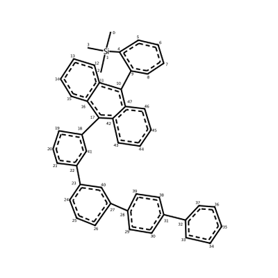 C[Si](C)(C)c1ccccc1-c1c2ccccc2c(-c2cccc(-c3cccc(-c4ccc(-c5ccccc5)cc4)c3)c2)c2ccccc12